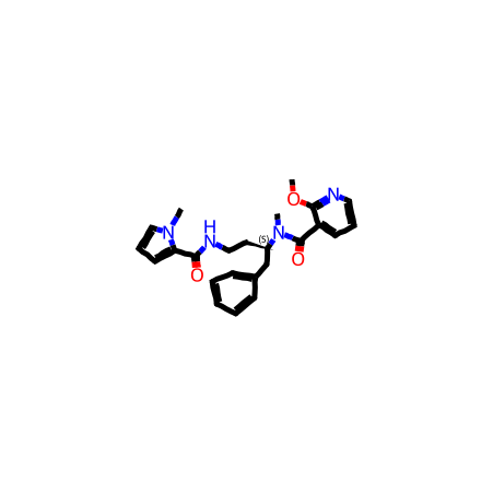 COc1ncccc1C(=O)N(C)[C@H](CCNC(=O)c1cccn1C)Cc1ccccc1